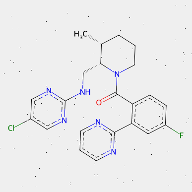 C[C@@H]1CCCN(C(=O)c2ccc(F)cc2-c2ncccn2)[C@@H]1CNc1ncc(Cl)cn1